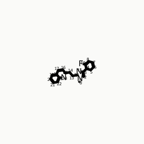 Cn1cc(C2CC=CC=C2F)nc1CCc1ccc2ccccc2n1